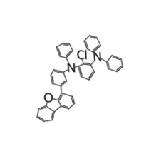 Clc1c(N(c2ccccc2)c2ccccc2)cccc1N(c1ccccc1)c1cccc(-c2cccc3c2oc2ccccc23)c1